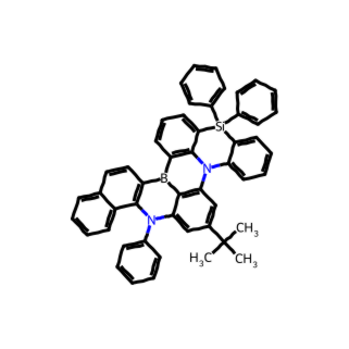 CC(C)(C)c1cc2c3c(c1)N(c1ccccc1)c1c(ccc4ccccc14)B3c1cccc3c1N2c1ccccc1[Si]3(c1ccccc1)c1ccccc1